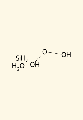 O.OOO.[SiH4]